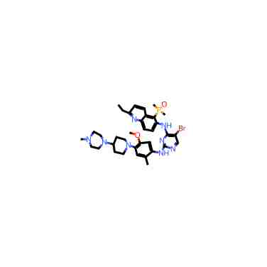 CCc1ccc2c(P(C)(C)=O)c(Nc3nc(Nc4cc(OC)c(N5CCC(N6CCN(C)CC6)CC5)cc4C)ncc3Br)ccc2n1